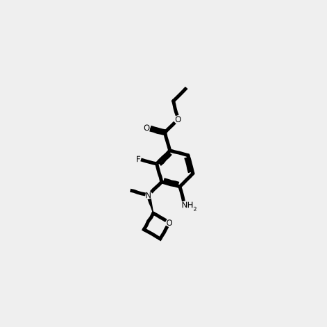 CCOC(=O)c1ccc(N)c(N(C)[C@@H]2CCO2)c1F